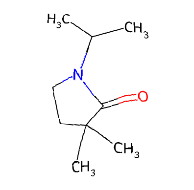 CC(C)N1CCC(C)(C)C1=O